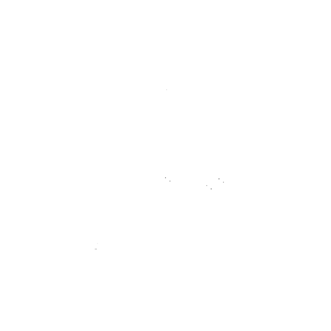 CC1(C)OB(c2cn(COCC[Si](C)(C)C)c3nnc(Cl)cc23)OC1(C)C